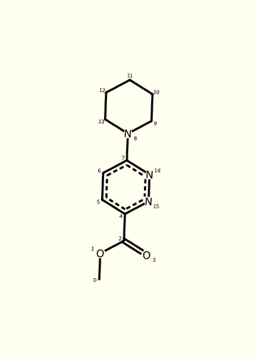 COC(=O)c1ccc(N2CCCCC2)nn1